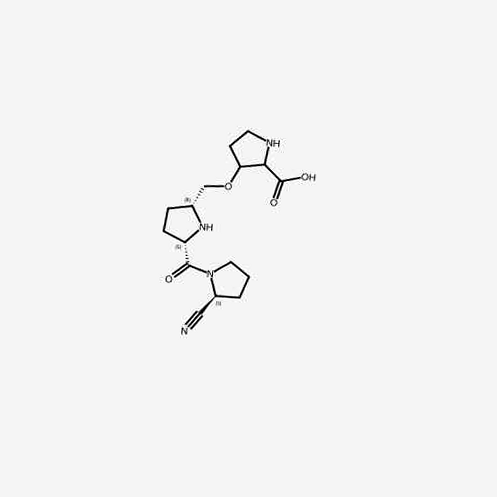 N#C[C@@H]1CCCN1C(=O)[C@@H]1CC[C@H](COC2CCNC2C(=O)O)N1